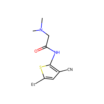 CCc1cc(C#N)c(NC(=O)CN(C)C)s1